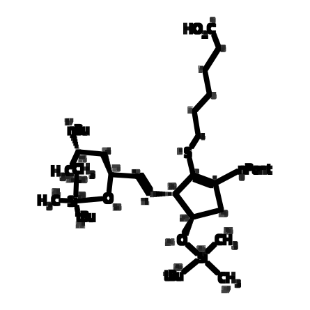 CCCCCC1=C(SCCCCCC(=O)O)[C@@H](/C=C/[C@H](C[C@H](C)CCCC)O[Si](C)(C)C(C)(C)C)[C@H](O[Si](C)(C)C(C)(C)C)C1